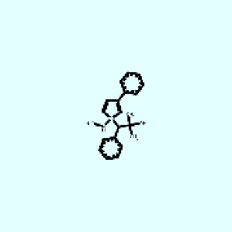 CNS1(C(c2ccccc2)C(C)(C)O)C=CC(c2ccccc2)=C1